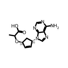 CC(O[C@@H]1C=C[C@@H](n2cnc3c(N)ncnc32)C1)C(=O)O